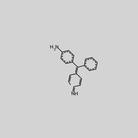 C\C=C/C(/C=C\C=N)=C(/c1ccccc1)c1ccc(N)cc1